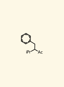 CC(=O)C(Cc1ccccc1)C(C)C